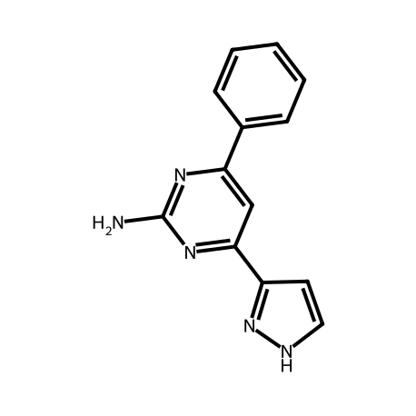 Nc1nc(-c2ccccc2)cc(-c2cc[nH]n2)n1